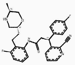 C[C@H]1CO[C@H](CCc2c(F)cccc2NC(=O)C[C@@H](c2ccc(F)cc2)c2cccnc2C#N)CN1